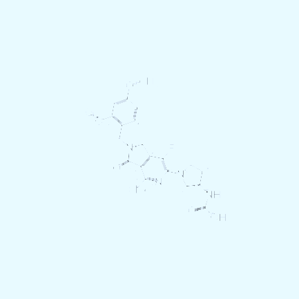 COc1ccc(CN2Cc3c(F)c(N4CCC(NC(=O)O)C4)nc(Cl)c3C2=O)c(OC)c1